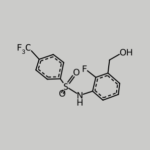 O=S(=O)(Nc1cccc(CO)c1F)c1ccc(C(F)(F)F)cc1